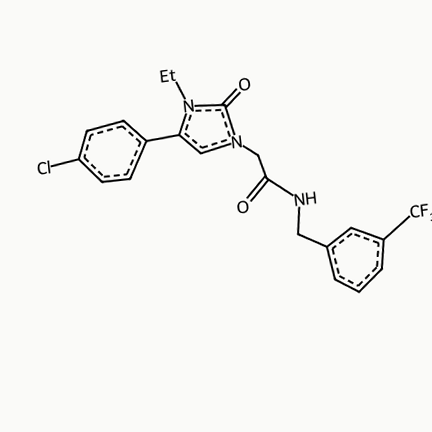 CCn1c(-c2ccc(Cl)cc2)cn(CC(=O)NCc2cccc(C(F)(F)F)c2)c1=O